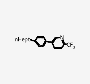 CCCCCCCc1ccc(-c2ccc(C(F)(F)F)nc2)cc1